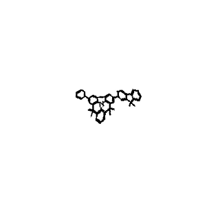 CC1(C)c2ccccc2-c2ccc(-c3cc4c5c(c3)c3cc(-c6ccccc6)cc6c3n5-c3c(cccc3C4(C)C)C6(C)C)cc21